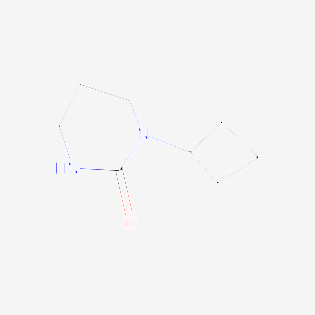 O=C1NCCCN1C1CCC1